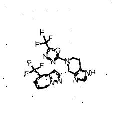 FC(F)(F)c1nnc(N2CCc3[nH]cnc3[C@@H]2c2cc3c(C(F)(F)F)cccn3n2)o1